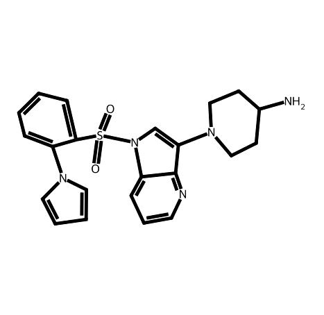 NC1CCN(c2cn(S(=O)(=O)c3ccccc3-n3cccc3)c3cccnc23)CC1